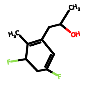 CC1=C(CC(C)O)C=C(F)CC1F